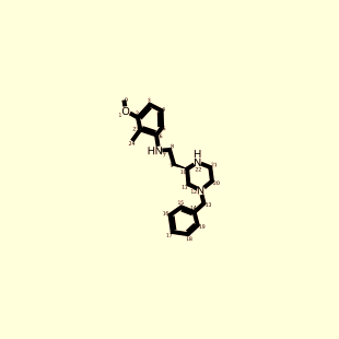 COc1cccc(NCC[C@@H]2CN(Cc3ccccc3)CCN2)c1C